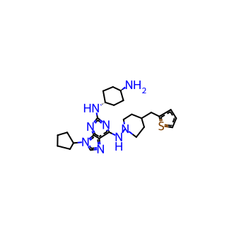 N[C@H]1CC[C@H](Nc2nc(NN3CCC(Cc4cccs4)CC3)c3ncn(C4CCCC4)c3n2)CC1